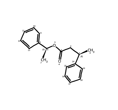 C[C@H](CC(=O)O[C@@H](C)c1ccccc1)c1ccccc1